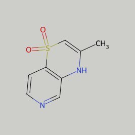 CC1=CS(=O)(=O)c2ccncc2N1